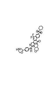 O=c1c(-c2ccc(S(=O)(=O)C3CCCCC3)cc2C(F)(F)F)cc2cnc(Nc3ccc(C4CNCCO4)cc3)nc2n1CC1CCOCC1